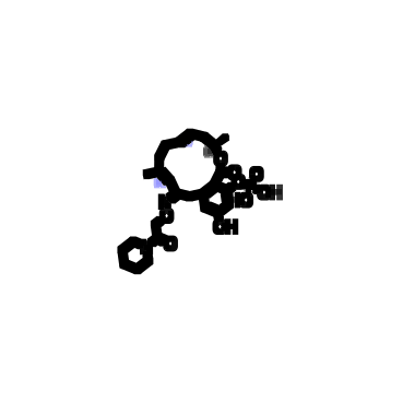 C/C1=C\C(=NOCC(=O)N2CCCCC2)Cc2cc(O)cc(OP(=O)(O)O)c2C(=O)O[C@H](C)C/C=C/CC1